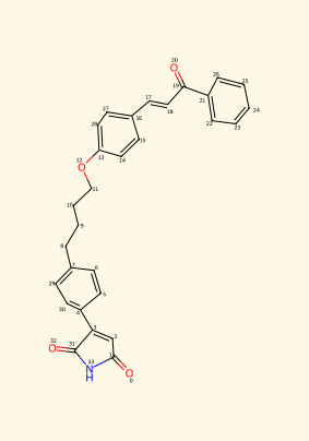 O=C1C=C(c2ccc(CCCCOc3ccc(C=CC(=O)c4ccccc4)cc3)cc2)C(=O)N1